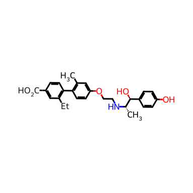 CCc1cc(C(=O)O)ccc1-c1ccc(OCCN[C@@H](C)[C@@H](O)c2ccc(O)cc2)cc1C